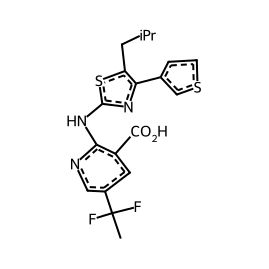 CC(C)Cc1sc(Nc2ncc(C(C)(F)F)cc2C(=O)O)nc1-c1ccsc1